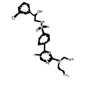 CCCN(CO)c1ncc(Cl)c(-c2ccc(S(=O)(=O)NCC(O)c3cccc(Cl)c3)cc2)n1